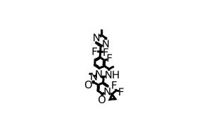 Cc1cnc(C(F)(F)c2cccc(C(C)Nc3nn(C)c(=O)c4cc(=O)n(C5(C(F)F)CC5)cc34)c2F)cn1